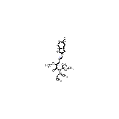 CO/C(=C\C=C\c1cc2cc(Cl)ccc2[nH]1)C(=O)N(C(C)OC)C(C)OC